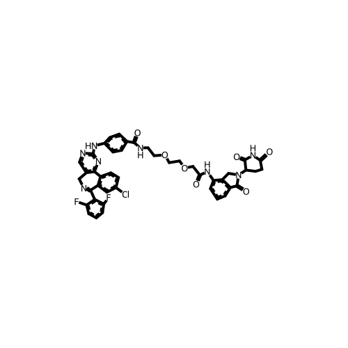 O=C1CCC(N2Cc3c(NC(=O)COCCOCCNC(=O)c4ccc(Nc5ncc6c(n5)-c5ccc(Cl)cc5C(c5c(F)cccc5F)=NC6)cc4)cccc3C2=O)C(=O)N1